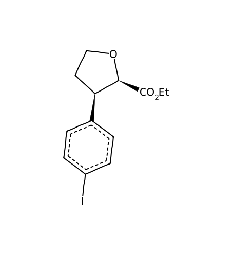 CCOC(=O)[C@@H]1OCC[C@@H]1c1ccc(I)cc1